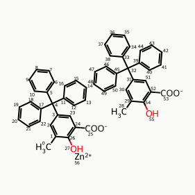 Cc1cc(C(c2ccccc2)(c2ccccc2)c2ccccc2)cc(C(=O)[O-])c1O.Cc1cc(C(c2ccccc2)(c2ccccc2)c2ccccc2)cc(C(=O)[O-])c1O.[Zn+2]